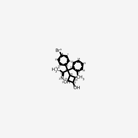 C/C(=N/O)C(c1ccc(Br)cc1)(c1ccccc1C)C1CC(O)C1